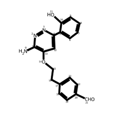 Nc1nnc(-c2ccccc2O)cc1OCCc1ccc(C=O)cc1